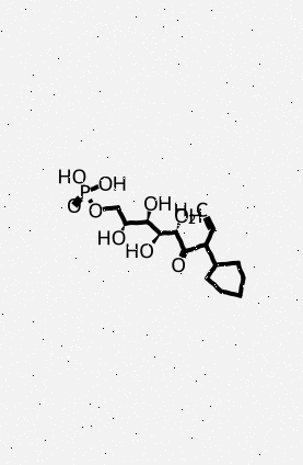 C=CC(C(=O)[C@@H](O)[C@@H](O)[C@H](O)[C@H](O)COP(=O)(O)O)C1CCCCC1